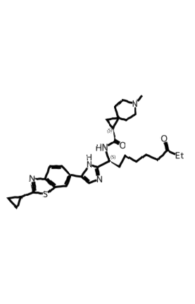 CCC(=O)CCCCC[C@H](NC(=O)[C@H]1CC12CCN(C)CC2)c1ncc(-c2ccc3nc(C4CC4)sc3c2)[nH]1